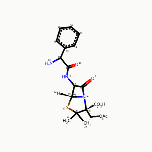 CC(=O)OC[C@@]1(C(=O)O)N2C(=O)C(NC(=O)C(N)c3ccccc3)[C@H]2SC1(C)C